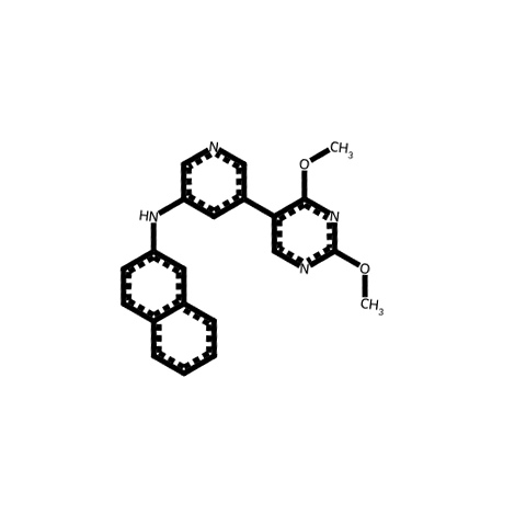 COc1ncc(-c2cncc(Nc3ccc4ccccc4c3)c2)c(OC)n1